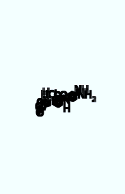 COC(=O)C[C@@H]1C[C@@H](Cn2cccc(C(=O)Nc3ccc(C(=N)N)cc3)c2=O)NC1=O.Cl